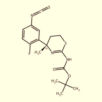 CC(C)(C)OC(=O)NC1=N[C@](C)(c2cc(N=C=S)ccc2F)CCS1